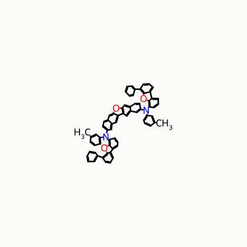 Cc1cccc(N(c2ccc3cc4oc5cc6ccc(N(c7cccc(C)c7)c7cccc8c7oc7c(-c9ccccc9)cccc78)cc6cc5c4cc3c2)c2cccc3c2oc2c(-c4ccccc4)cccc23)c1